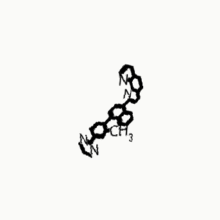 CC1C=C(c2ncccn2)C=CC1c1ccc(-c2ccc3ccc4cccnc4c3n2)c2ccccc12